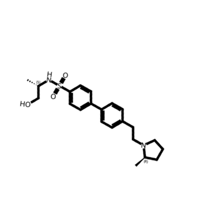 C[C@@H]1CCCN1CCc1ccc(-c2ccc(S(=O)(=O)N[C@@H](C)CO)cc2)cc1